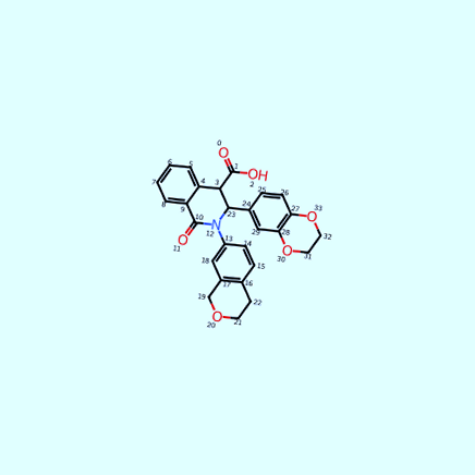 O=C(O)C1c2ccccc2C(=O)N(c2ccc3c(c2)COCC3)C1c1ccc2c(c1)OCCO2